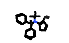 CC(C)(C)C1=C(N([SiH](c2ccccc2)c2ccccc2)[Si](C)(C)C)CC=C1